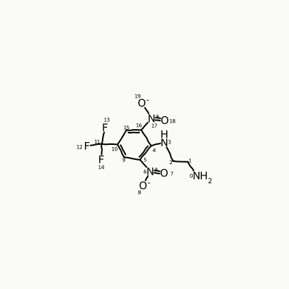 NCCNc1c([N+](=O)[O-])cc(C(F)(F)F)cc1[N+](=O)[O-]